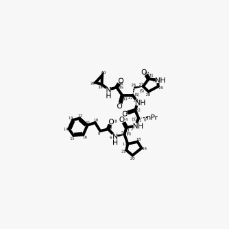 CCC[C@H](NC(=O)[C@H](NC(=O)CCc1ccccc1)C1CCCC1)C(=O)N[C@@H](C[C@@H]1CCNC1=O)C(=O)C(=O)NC1CC1